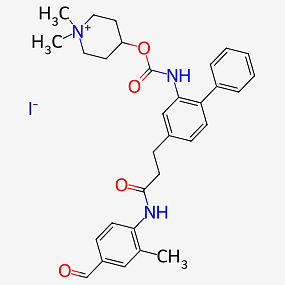 Cc1cc(C=O)ccc1NC(=O)CCc1ccc(-c2ccccc2)c(NC(=O)OC2CC[N+](C)(C)CC2)c1.[I-]